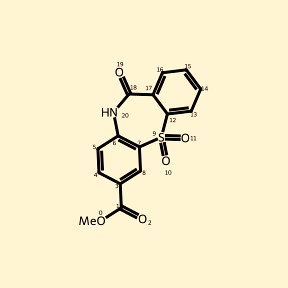 COC(=O)c1ccc2c(c1)S(=O)(=O)c1ccccc1C(=O)N2